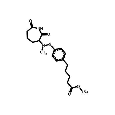 CN(Sc1ccc(CCCCC(=O)OC(C)(C)C)cc1)C1CCCC(=O)NC1=O